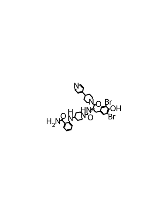 NC(=O)c1ccccc1NC1CCN(C(=O)N[C@H](Cc2cc(Br)c(O)c(Br)c2)C(=O)N2CCC(c3ccncc3)CC2)CC1